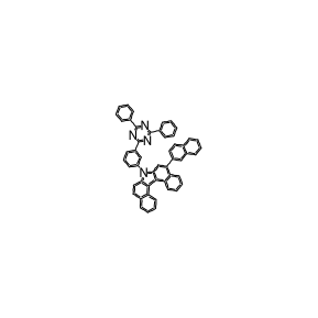 c1ccc(-c2nc(-c3ccccc3)nc(-c3cccc(-n4c5ccc6ccccc6c5c5c6ccccc6c(-c6ccc7ccccc7c6)cc54)c3)n2)cc1